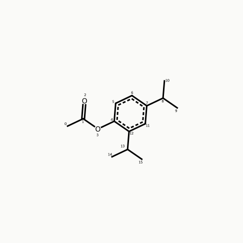 CC(=O)Oc1ccc(C(C)C)cc1C(C)C